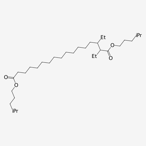 CCC(CCCCCCCCCCCCCC(=O)OCCCC(C)C)C(CC)C(=O)OCCCC(C)C